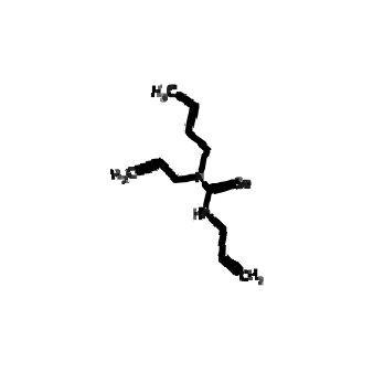 C=CCNC(=[Se])N(CC=C)CCCC